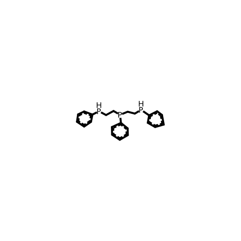 c1ccc(PCCP(CCPc2ccccc2)c2ccccc2)cc1